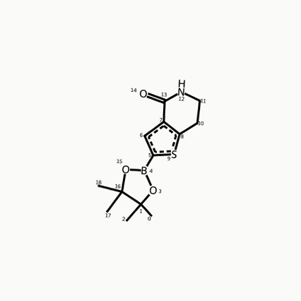 CC1(C)OB(c2cc3c(s2)CCNC3=O)OC1(C)C